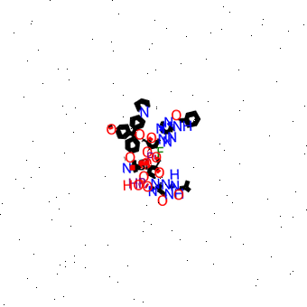 COc1ccc(C(OC[C@H]2O[C@@H](n3nnc4c(NC(=O)c5ccccc5)ncnc43)[C@@H](F)[C@@H]2OP(OCCC#N)OC[C@H]2O[C@@H](n3cnc4c(=O)[nH]c(NC(=O)C(C)C)nc43)[C@@H](O[PH](=O)O)[C@@H]2O[Si](C)(C)C(C)(C)C)(c2ccccc2)c2ccc(OC)cc2)cc1.c1ccncc1